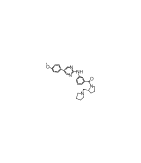 COc1ccc(-c2cnc(Nc3cccc(C(=O)N4CCC[C@H]4CN4CCCC4)c3)nc2)cc1